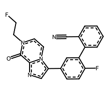 N#Cc1ccccc1-c1cc(-c2cnc3c(=O)n(CCF)ccn23)ccc1F